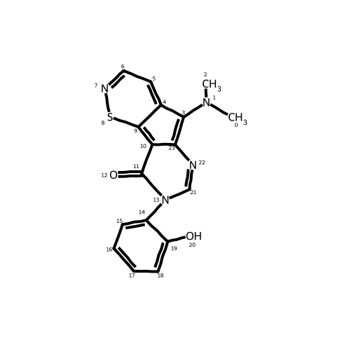 CN(C)c1c2ccnsc-2c2c(=O)n(-c3ccccc3O)cnc12